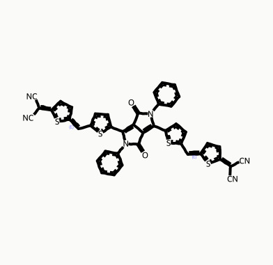 N#CC(C#N)=c1cc/c(=C\c2ccc(C3=C4C(=O)N(c5ccccc5)C(c5ccc(/C=c6\ccc(=C(C#N)C#N)s6)s5)=C4C(=O)N3c3ccccc3)s2)s1